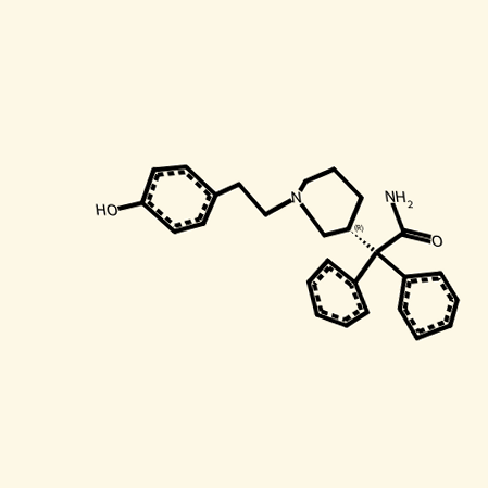 NC(=O)C(c1ccccc1)(c1ccccc1)[C@H]1CCCN(CCc2ccc(O)cc2)C1